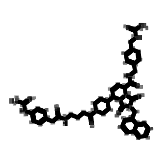 CC(=O)NCc1ccc(CNC(=O)C2C=CC(C3CCN(C(=O)CCCNC(=O)Cc4ccc(NC(C)=O)cc4)CC3)n3c(=O)n(Cc4cccc5ccccc45)c(=O)n32)cc1